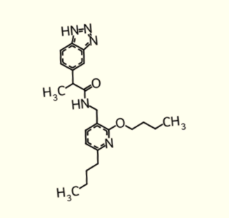 CCCCOc1nc(CCCC)ccc1CNC(=O)C(C)c1ccc2[nH]nnc2c1